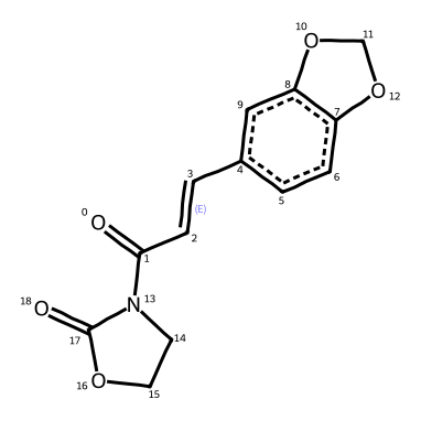 O=C(/C=C/c1ccc2c(c1)OCO2)N1CCOC1=O